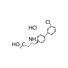 Cl.N[C@@H](CC(=O)O)Cc1ccc(-c2cccc(Cl)c2)cc1